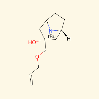 C=CCOC[C@@]1(O)CC2CC[C@H](C1)N2C(C)(C)C